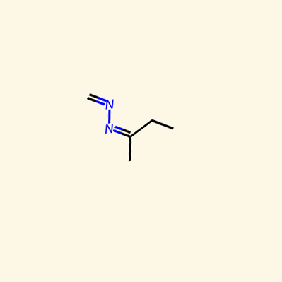 C=NN=C(C)CC